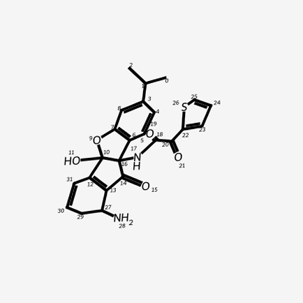 CC(C)c1ccc2c(c1)OC1(O)C3=C(C(=O)C21NC(=O)C(=O)c1cccs1)C(N)CC=C3